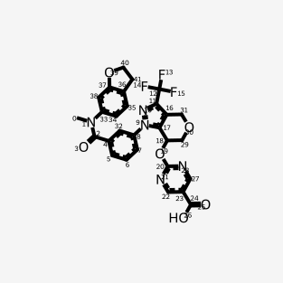 CN(C(=O)c1cccc(-n2nc(C(F)(F)F)c3c2C(Oc2ncc(C(=O)O)cn2)COC3)c1)c1ccc2c(c1)OCC2